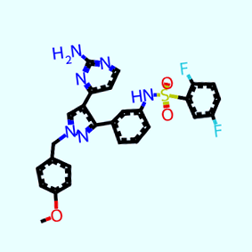 COc1ccc(Cn2cc(-c3ccnc(N)n3)c(-c3cccc(NS(=O)(=O)c4cc(F)ccc4F)c3)n2)cc1